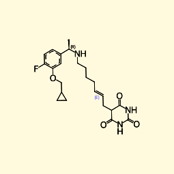 C[C@@H](NCCCC/C=C/CC1C(=O)NC(=O)NC1=O)c1ccc(F)c(OCC2CC2)c1